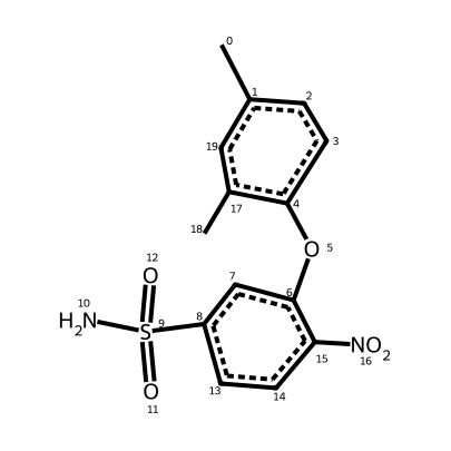 Cc1ccc(Oc2cc(S(N)(=O)=O)ccc2[N+](=O)[O-])c(C)c1